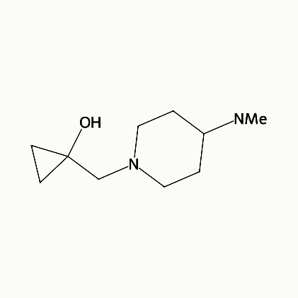 CNC1CCN(CC2(O)CC2)CC1